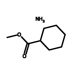 COC(=O)C1CCCCC1.N